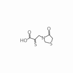 O=C(O)C(=S)CN1CSCC1=O